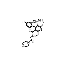 Cc1nc2c(c(-c3ccc(Cl)cc3Cl)c1CN)C(=O)N(CC(=O)N1CCOCC1)CC2